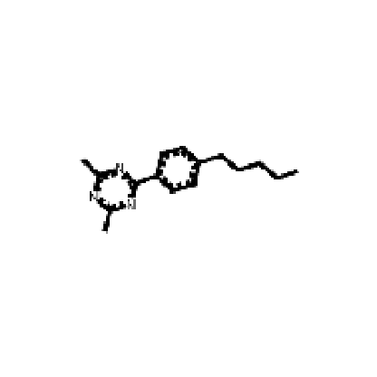 CCCCCc1ccc(-c2nc(C)nc(C)n2)cc1